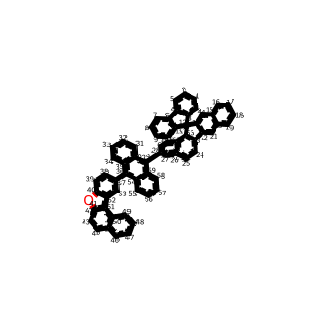 c1ccc2c(c1)-c1ccccc1C21c2cc3ccccc3cc2-c2ccc3cc(-c4c5ccccc5c(-c5ccc6oc7ccc8ccccc8c7c6c5)c5ccccc45)ccc3c21